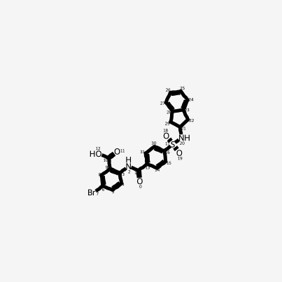 O=C(Nc1ccc(Br)cc1C(=O)O)c1ccc(S(=O)(=O)NC2Cc3ccccc3C2)cc1